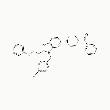 O=C(c1ccccc1)N1CCN(c2ccc3nc(CCOc4ccccc4)n(Cc4ccc(Cl)cc4)c3c2)CC1